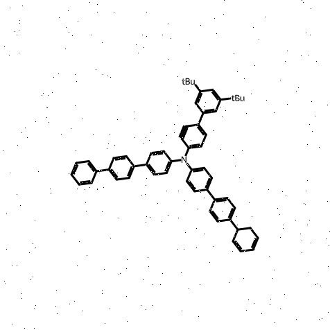 CC(C)(C)c1cc(-c2c#cc(N(c3ccc(-c4ccc(-c5ccccc5)cc4)cc3)c3ccc(-c4ccc(C5C=CC=CC5)cc4)cc3)cc2)cc(C(C)(C)C)c1